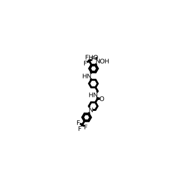 O=C(NCC1CCC(Nc2ccc(N(O)O)c(C(F)(F)F)c2)CC1)C1CCN(c2ccc(C(F)(F)F)cc2)CC1